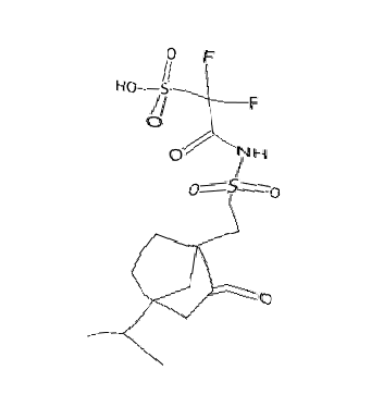 CC(C)C12CCC(CS(=O)(=O)NC(=O)C(F)(F)S(=O)(=O)O)(C1)C(=O)C2